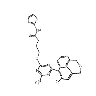 Nc1nc(SCCCC(=O)Nc2nccs2)nc(-c2c(Cl)cc3c4c(cccc24)COC3)n1